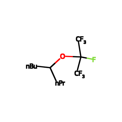 CCCCC(CCC)OC(F)(C(F)(F)F)C(F)(F)F